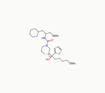 CNCC(CC1CCCCC1)NC(=O)N1CCC[C@@H]([C@@](O)(CCCCOC)c2cccs2)C1